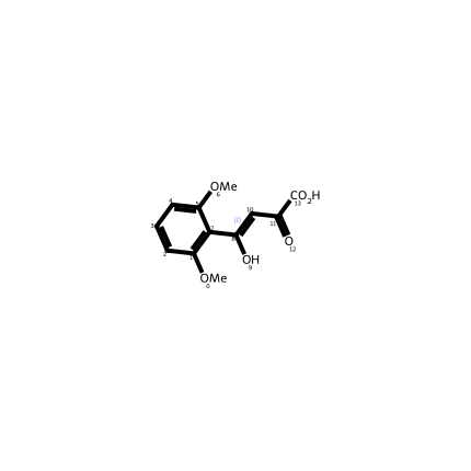 COc1cccc(OC)c1/C(O)=C/C(=O)C(=O)O